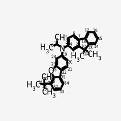 CC(C)N(c1ccc2c(c1)C(C)(C)c1ccccc1-2)c1ccc2c(c1)oc1c(C(C)(C)C)cccc12